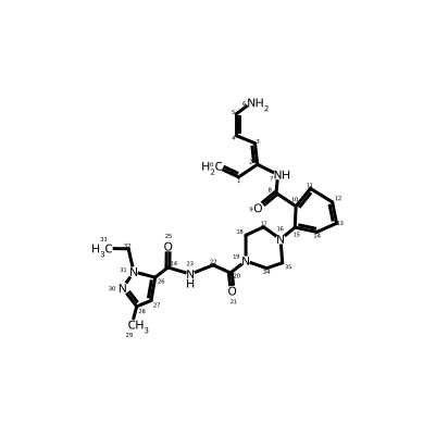 C=C/C(=C\C=C/N)NC(=O)c1ccccc1N1CCN(C(=O)CNC(=O)c2cc(C)nn2CC)CC1